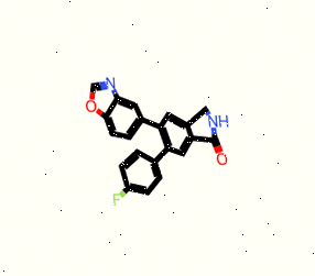 O=C1NCc2cc(-c3ccc4ocnc4c3)c(-c3ccc(F)cc3)cc21